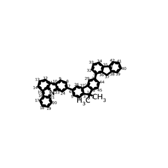 CC1(C)c2ccc(-c3ccc4c5cccc6c7ccccc7n(c4c3)c65)cc2-c2cc(-c3cccc4c3Cc3ccccc3-4)ccc21